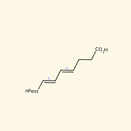 CCCCC/C=C/C=C/CCC(=O)O